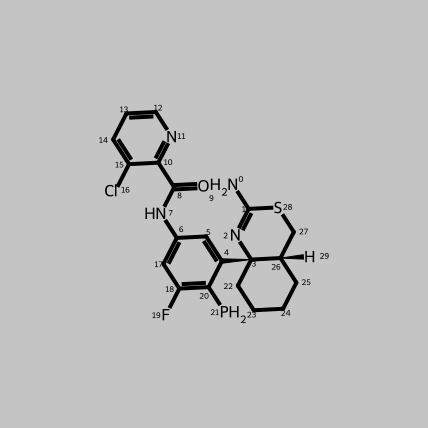 NC1=N[C@@]2(c3cc(NC(=O)c4ncccc4Cl)cc(F)c3P)CCCC[C@H]2CS1